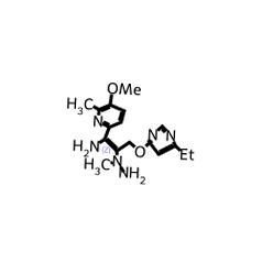 CCc1cc(OC/C(=C(/N)c2ccc(OC)c(C)n2)N(C)N)ncn1